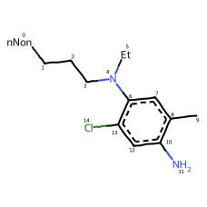 CCCCCCCCCCCCN(CC)c1cc(C)c(N)cc1Cl